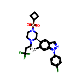 Cc1cc2c(cnn2-c2ccc(F)cc2)cc1[C@@H]1CN(S(=O)(=O)C2CCC2)CCN1CCC(F)(F)F